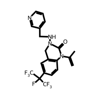 C=C(C)N1C(=O)N(NCc2cccnc2)Cc2cc(C(F)(C(F)(F)F)C(F)(F)F)ccc21